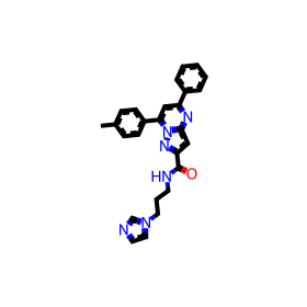 Cc1ccc(-c2cc(-c3ccccc3)nc3cc(C(=O)NCCCn4ccnc4)nn23)cc1